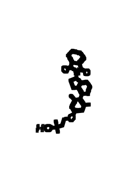 Cc1cc(OCCC(C)(C)O)cc(C)c1-c1cccc2c1CCC2N1C(=O)c2ccccc2C1=O